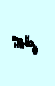 Brc1ccc2c(-c3cc4cc(CN5CCOCC5)ccc4[nH]3)n[nH]c2c1